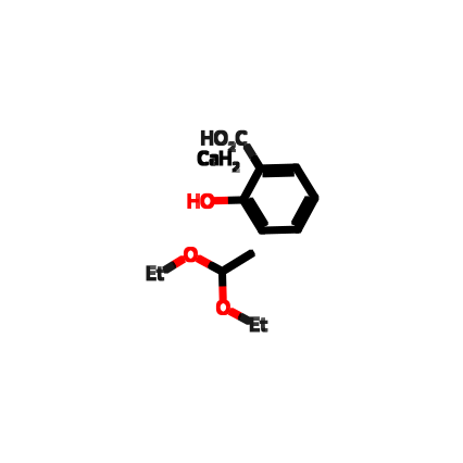 CCOC(C)OCC.O=C(O)c1ccccc1O.[CaH2]